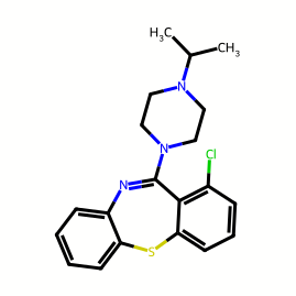 CC(C)N1CCN(C2=Nc3ccccc3Sc3cccc(Cl)c32)CC1